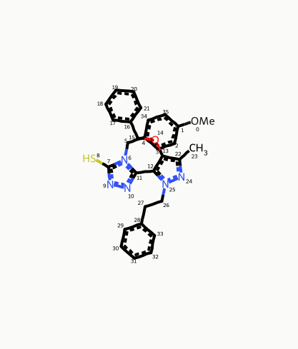 COc1ccc(Cn2c(S)nnc2-c2c(OCc3ccccc3)c(C)nn2CCc2ccccc2)cc1